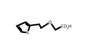 O=C(O)COCCc1cccs1